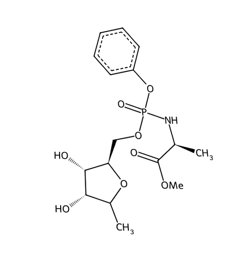 COC(=O)[C@H](C)NP(=O)(OC[C@H]1OC(C)[C@H](O)[C@@H]1O)Oc1ccccc1